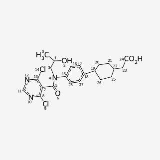 CC(O)CN(C(=O)c1c(Cl)ncnc1Cl)c1ccc(C2CCC(CC(=O)O)CC2)cc1